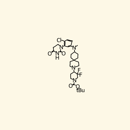 CN(c1ccc(Cl)c(N2CCC(=O)NC2=O)c1)C1CCC2(CC1)CCN(C1CCN(C(=O)OC(C)(C)C)CC1(F)F)CC2